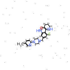 Cc1ccc(N2CCN(Cc3cc(F)c4c(c3)NOC3=C4NCCC3)CC2)nc1